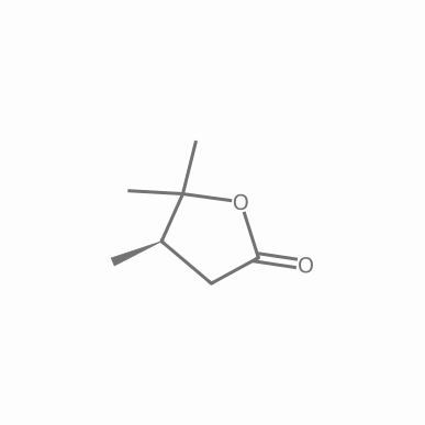 C[C@@H]1CC(=O)OC1(C)C